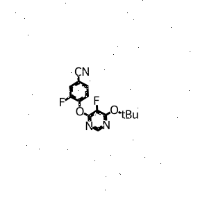 CC(C)(C)Oc1ncnc(Oc2ccc(C#N)cc2F)c1F